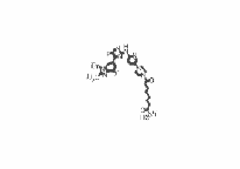 Cc1nc2c(F)cc(-c3nc(Nc4ccc(N5CCN(C(=O)CCCCCCC(=O)NO)CC5)cn4)ncc3F)cc2n1C(C)C